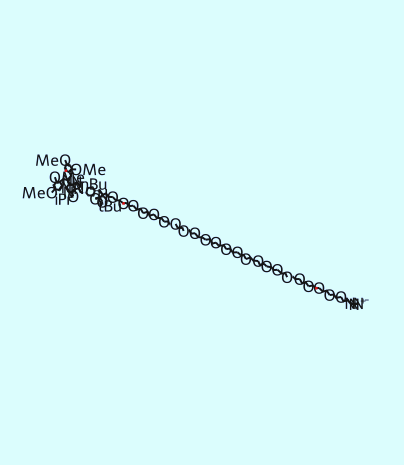 CCCCc1nc2c(N(Cc3ccc(OC)cc3OC)Cc3ccc(OC)cc3OC)nnc(OC(C)C)c2n1C[C@H]1CC[C@H](CN(CCOCCOCCOCCOCCOCCOCCOCCOCCOCCOCCOCCOCCOCCOCCOCCOCCOCCOCCOCCOCCOCCOCCOCCN=[N+]=[N-])C(=O)OC(C)(C)C)CC1